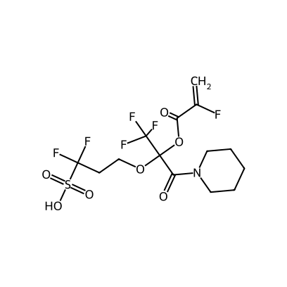 C=C(F)C(=O)OC(OCCC(F)(F)S(=O)(=O)O)(C(=O)N1CCCCC1)C(F)(F)F